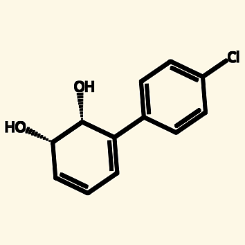 O[C@@H]1C(c2ccc(Cl)cc2)=CC=C[C@@H]1O